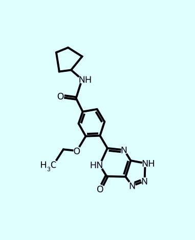 CCOc1cc(C(=O)NC2CCCC2)ccc1-c1nc2[nH]nnc2c(=O)[nH]1